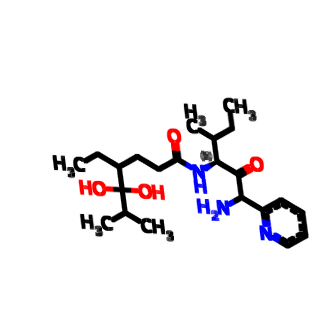 CCC(C)[C@H](NC(=O)CCC(CC)C(O)(O)C(C)C)C(=O)C(N)c1ccccn1